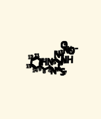 O=[N+]([O-])c1nc2[nH]c(Cc3ccccc3)nc(=S)c2[nH]1